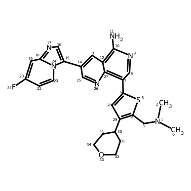 CN(C)Cc1sc(-c2cnc(N)c3cc(-c4cnc5cc(F)ccn45)cnc23)cc1C1CCOCC1